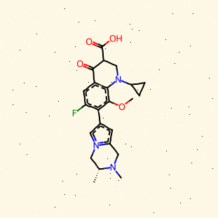 COc1c(-c2cc3n(c2)C[C@@H](C)N(C)C3)c(F)cc2c1N(C1CC1)CC(C(=O)O)C2=O